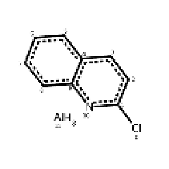 Clc1ccc2ccccc2n1.[AlH3]